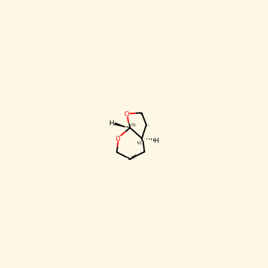 [CH]1CO[C@H]2OCCC[C@H]12